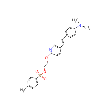 Cc1ccc(S(=O)(=O)OCCOc2ccc(/C=C/c3ccc(N(C)C)cc3)cn2)cc1